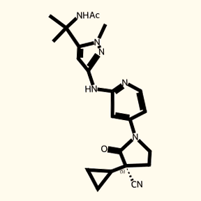 CC(=O)NC(C)(C)c1cc(Nc2cc(N3CC[C@@](C#N)(C4CC4)C3=O)ccn2)nn1C